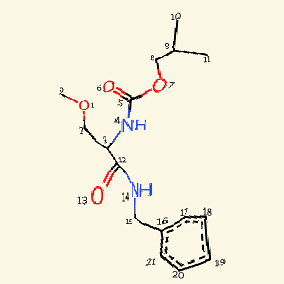 COCC(NC(=O)OCC(C)C)C(=O)NCc1ccccc1